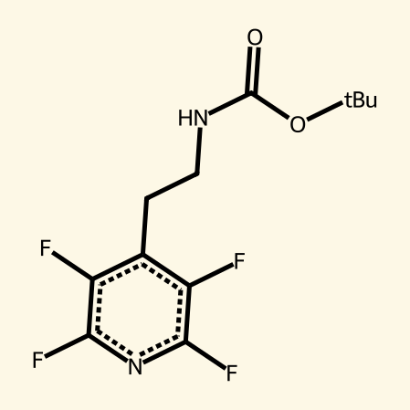 CC(C)(C)OC(=O)NCCc1c(F)c(F)nc(F)c1F